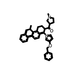 CC1C=c2ccccc2=c2ccc3c(c21)CCC(C(=O)C1CCN(C)C1)C=3n1ccc(OCc2ccccc2)c1